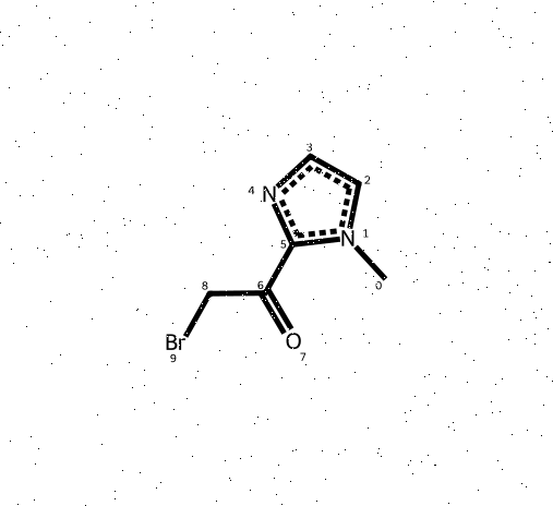 Cn1ccnc1C(=O)CBr